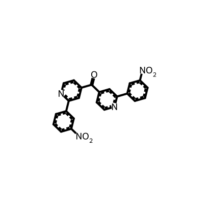 O=C(c1ccnc(-c2cccc([N+](=O)[O-])c2)c1)c1ccnc(-c2cccc([N+](=O)[O-])c2)c1